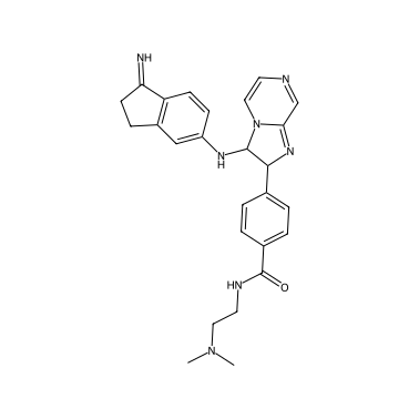 CN(C)CCNC(=O)c1ccc(C2N=C3C=NC=CN3C2Nc2ccc3c(c2)CCC3=N)cc1